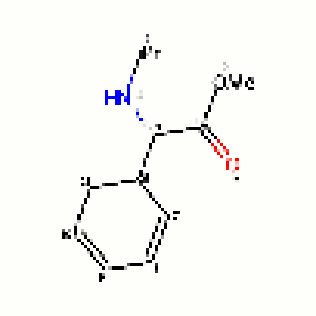 COC(=O)[C@@H](NC(C)C)C1C=CC=CC1